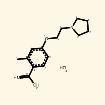 Cc1cc(OCCN2CCCC2)ccc1C(=O)O.Cl